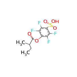 CCC(C)C(=O)Oc1c(F)c(F)c(S(=O)(=O)O)c(F)c1F